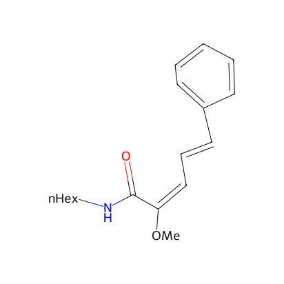 CCCCCCNC(=O)C(=CC=Cc1ccccc1)OC